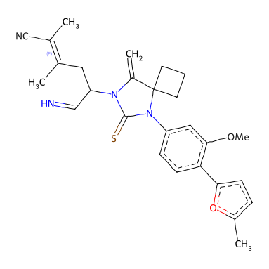 C=C1N(C(C=N)C/C(C)=C(\C)C#N)C(=S)N(c2ccc(-c3ccc(C)o3)c(OC)c2)C12CCC2